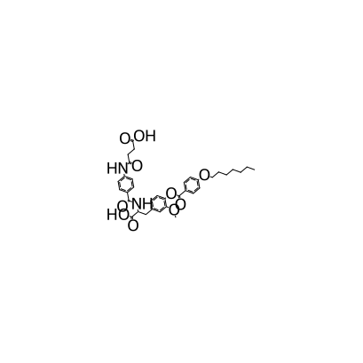 CCCCCCCOc1ccc(C(=O)Oc2ccc(CC(NC(=O)c3ccc(NC(=O)CCC(=O)O)cc3)C(=O)O)cc2OC)cc1